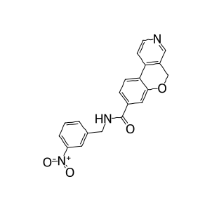 O=C(NCc1cccc([N+](=O)[O-])c1)c1ccc2c(c1)OCc1cnccc1-2